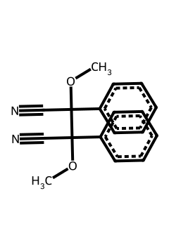 COC(C#N)(c1ccccc1)C(C#N)(OC)c1ccccc1